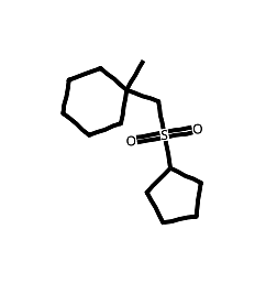 CC1(CS(=O)(=O)C2CCCC2)CCCCC1